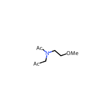 COCCN(CC(C)=O)C(C)=O